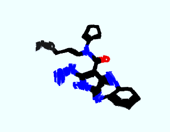 COCCCN(C(=O)c1c(N=N)[nH]c2nc3ccccc3nc12)C1CCCC1